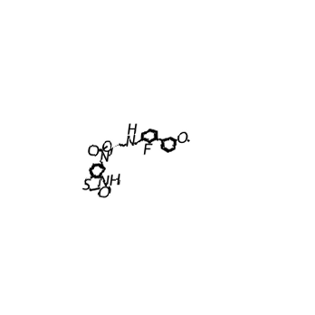 COc1cccc(-c2cccc(CNCC[C@@H]3CN(c4ccc5c(c4)NC(=O)CS5)C(=O)O3)c2F)c1